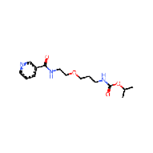 CC(C)OC(=O)NCCCOCCNC(=O)c1cccnc1